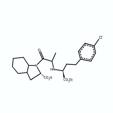 CCOC(=O)[C@H](CCc1ccc(Cl)cc1)NC(C)C(=O)N1C2CCCCC2C[C@H]1C(=O)O